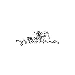 CCCCCCCCC(CCOC(=O)C=CC(=O)O)[Si](C)(C)O[Si](C)(C)O[Si](C)(C)C